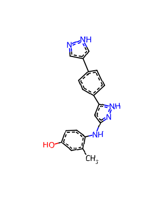 Cc1cc(O)ccc1Nc1cc(-c2ccc(-c3cn[nH]c3)cc2)[nH]n1